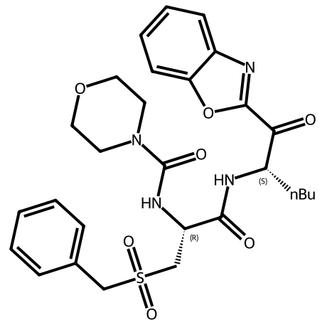 CCCC[C@H](NC(=O)[C@H](CS(=O)(=O)Cc1ccccc1)NC(=O)N1CCOCC1)C(=O)c1nc2ccccc2o1